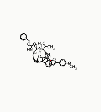 COc1ccc(-c2cnc(-c3nc4oc3C35c6ccccc6NC3Oc3ccc(cc35)C[C@H](NC(=O)OCc3ccccc3)C(=O)N[C@H]4C(C)C)o2)cc1